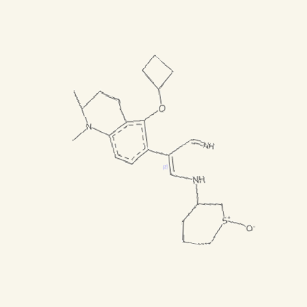 CC1CCc2c(ccc(/C(C=N)=C/NC3CCC[S+]([O-])C3)c2OC2CCC2)N1C